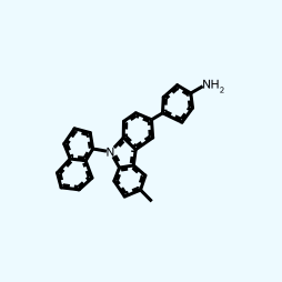 Cc1ccc2c(c1)c1cc(-c3ccc(N)cc3)ccc1n2-c1cccc2ccccc12